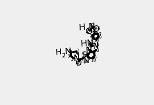 NC1CCN(C(=O)c2nc3ccc4cnc(Nc5cccc(S(N)(=O)=O)c5)nc4c3s2)CC1